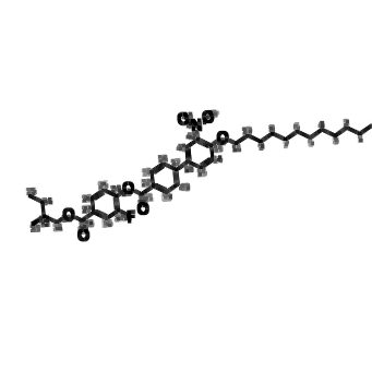 CCCCCCCCCCCCOc1ccc(-c2ccc(C(=O)Oc3ccc(C(=O)OC[C@@H](C)CC)cc3F)cc2)cc1[N+](=O)[O-]